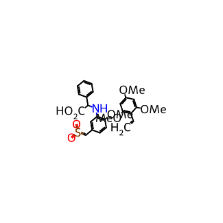 C=Cc1c(OC)cc(OC)cc1OC.COc1ccc(C=S(=O)=O)cc1NC(C(=O)O)c1ccccc1